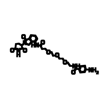 Nc1ccc(C(=O)NCCOCCOCCOCCC(=O)Nc2cccc3c2CN(C2CCC(=O)NC2=O)C3=O)cc1